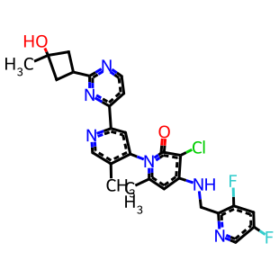 Cc1cnc(-c2ccnc(C3CC(C)(O)C3)n2)cc1-n1c(C)cc(NCc2ncc(F)cc2F)c(Cl)c1=O